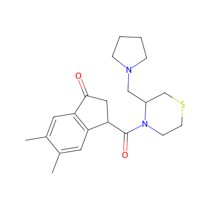 Cc1cc2c(cc1C)C(C(=O)N1CCSCC1CN1CCCC1)CC2=O